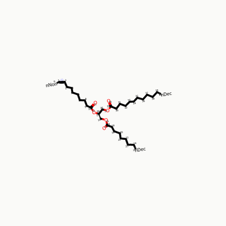 CCCCCCCCC/C=C\CCCCCCCC(=O)O[C@H](COC(=O)CCCCCCCCCCCCCCCCC)COC(=O)CCCCCCCCCCCCCCCCCCCC